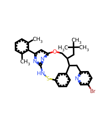 Cc1cccc(C)c1-c1cc2nc(n1)NSc1cccc(c1)C(Cc1ccc(Br)cn1)C(CC(C)(C)C)CO2